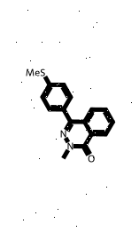 CSc1ccc(-c2nn(C)c(=O)c3ccccc23)cc1